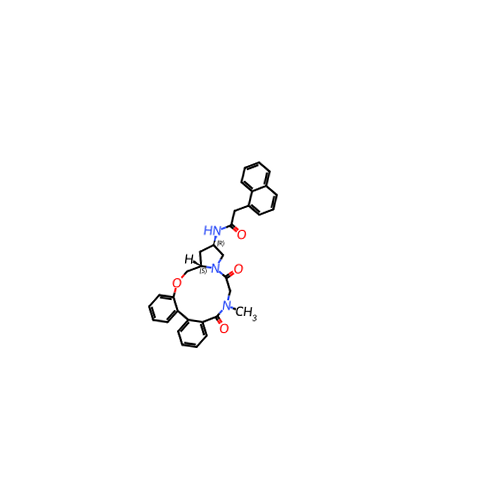 CN1CC(=O)N2C[C@H](NC(=O)Cc3cccc4ccccc34)C[C@H]2COc2ccccc2-c2ccccc2C1=O